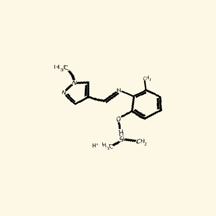 Cc1cccc(O[SiH](C)C)c1N=Cc1cnn(C)c1.[H+]